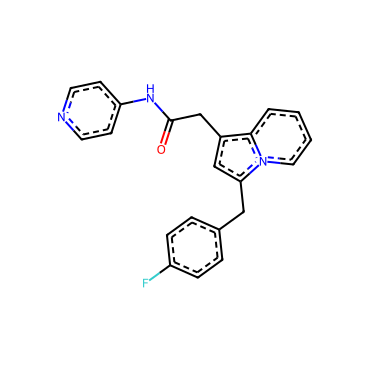 O=C(Cc1cc(Cc2ccc(F)cc2)n2ccccc12)Nc1ccncc1